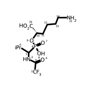 CC(C)C(NC(=O)C(F)(F)F)P(=O)(O)O[C@@H](CCCCN)C(=O)O